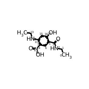 CCNC(=O)c1cc([N+](=O)O)c(NCC)cc1O